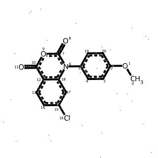 COc1ccc(-n2c(=O)oc(=O)c3ccc(Cl)cc32)cc1